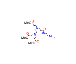 COC(=O)CCN(CCC(=O)NCCN)CCN(CCC(=O)OC)CCC(=O)OC